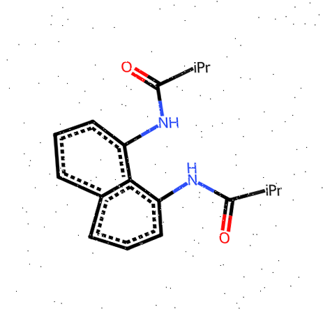 CC(C)C(=O)Nc1cccc2cccc(NC(=O)C(C)C)c12